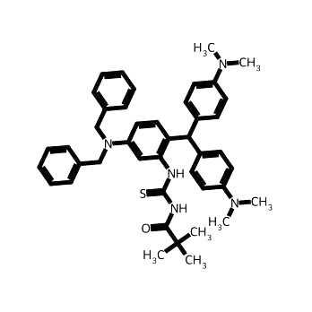 CN(C)c1ccc(C(c2ccc(N(C)C)cc2)c2ccc(N(Cc3ccccc3)Cc3ccccc3)cc2NC(=S)NC(=O)C(C)(C)C)cc1